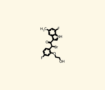 Cc1cc(F)c2[nH]cc(C(=O)C(Br)c3ccc(F)cc3OCCO)c2c1